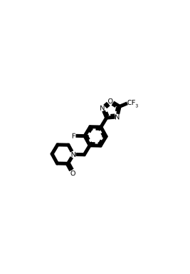 O=C1CCCCN1Cc1ccc(-c2noc(C(F)(F)F)n2)cc1F